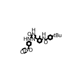 Cc1c(NC(=O)c2ccc(C(C)(C)C)cc2)cccc1-c1c[nH]c(=O)c(Nc2ccc(C(=O)N3CCOCC3)cc2)n1